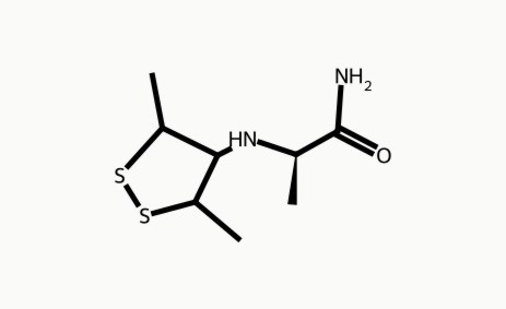 CC1SSC(C)C1N[C@H](C)C(N)=O